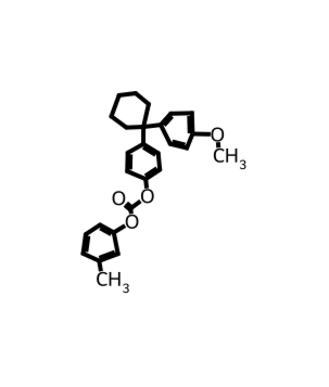 COc1ccc(C2(c3ccc(OC(=O)Oc4cccc(C)c4)cc3)CCCCC2)cc1